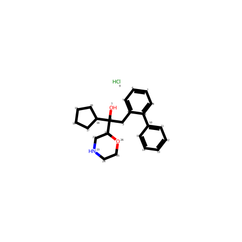 Cl.OC(Cc1ccccc1-c1ccccc1)(C1CCCC1)C1CNCCO1